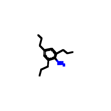 CCCc1cc(CCC)c(N)c(CCC)c1